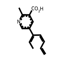 C=C/C=C\C(=C/C)c1cnc(C)c(C(=O)O)c1